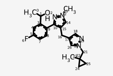 CC(O)c1cc(F)ccc1-c1nn(C)cc1Cc1cnn(CC2(C)CC2)c1